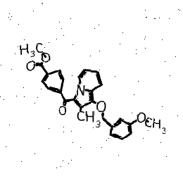 COC(=O)c1ccc(C(=O)c2c(C)c(OCc3cccc(OC)c3)c3ccccn23)cc1